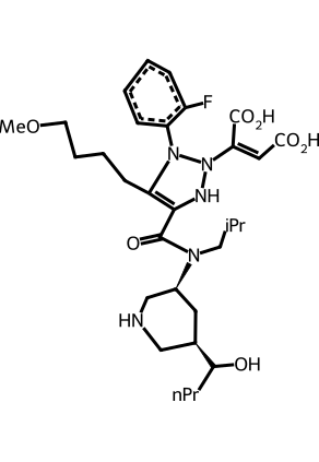 CCCC(O)[C@H]1CNC[C@@H](N(CC(C)C)C(=O)C2=C(CCCCOC)N(c3ccccc3F)N(/C(=C/C(=O)O)C(=O)O)N2)C1